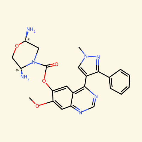 COc1cc2ncnc(-c3cn(C)nc3-c3ccccc3)c2cc1OC(=O)N1C[C@H](N)OC[C@@H]1N